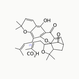 CC(C)=CCc1c2c(c(O)c3c1OC14C(=CC5CC1C(C)(C)OC4(C/C=C(/C)C(=O)O)C5=O)C3=O)C=CC(C)(C)O2